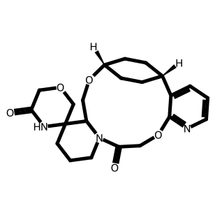 O=C1COCC2(CCCN3C(=O)COc4ncccc4[C@H]4CC[C@H](CC4)OCC32)N1